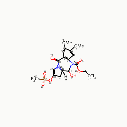 COc1cc2c(cc1OC)N(C(=O)OCC(Cl)(Cl)Cl)C(O)[C@@H]1CC(OS(=O)(=O)C(F)(F)F)=CN1C2=O